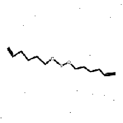 C=CCCCCOSOCCCCC=C